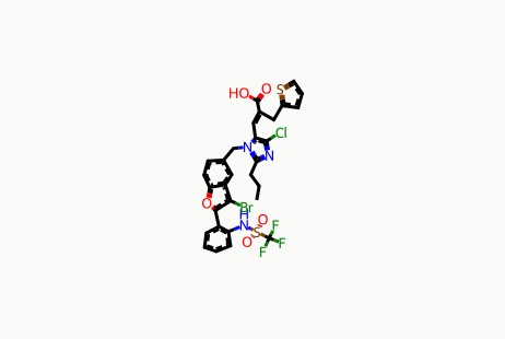 CCCc1nc(Cl)c(C=C(Cc2cccs2)C(=O)O)n1Cc1ccc2oc(-c3ccccc3NS(=O)(=O)C(F)(F)F)c(Br)c2c1